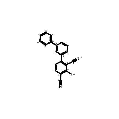 N#Cc1ccc(-c2cccc(-c3ccccc3)c2)c(C#N)c1F